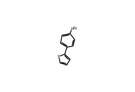 CCCc1ccc(-c2cccs2)cc1